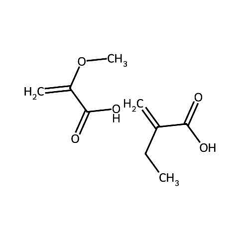 C=C(CC)C(=O)O.C=C(OC)C(=O)O